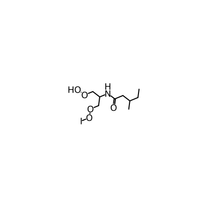 CCC(C)CC(=O)NC(COO)COOI